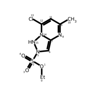 CCOS(=O)(=O)N1C=C2N=C(C)C=C(Cl)N2N1